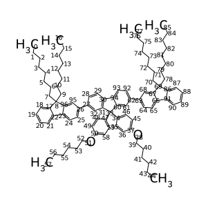 CCCCCCCCC1(CCCCCCCC)c2ccccc2-c2ccc(-c3ccc4c(c3)C(c3ccc(OCCCCCC)cc3)(c3ccc(OCCCCCC)cc3)c3cc(-c5ccc6c(c5)C(CCCCCCCC)(CCCCCCCC)c5ccccc5-6)ccc3-4)cc21